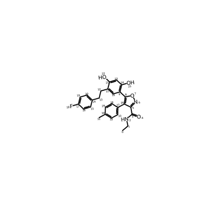 CCNC(=O)c1noc(-c2cc(CCc3ccc(F)cc3)c(O)cc2O)c1-c1ccc(C)cc1